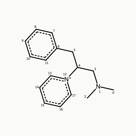 CN(C)CC(Cc1ccccc1)[n+]1ccccc1